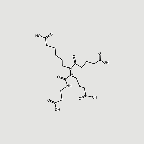 O=C(O)CCCCCN(C(=O)CCCC(=O)O)[C@@H](CCCC(=O)O)C(=O)NCCC(=O)O